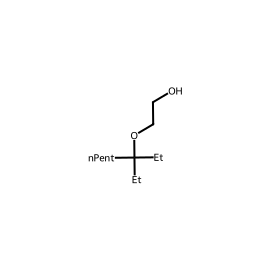 CCCCCC(CC)(CC)OCCO